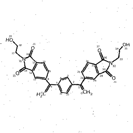 C=C(c1ccc(C(=C)c2ccc3c(c2)C(=O)N(CCO)C3=O)cc1)c1ccc2c(c1)C(=O)N(CCO)C2=O